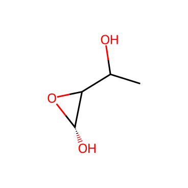 CC(O)C1O[C@H]1O